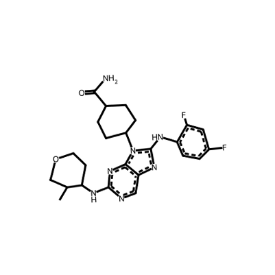 CC1COCCC1Nc1ncc2nc(Nc3ccc(F)cc3F)n(C3CCC(C(N)=O)CC3)c2n1